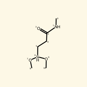 CNC(=O)CC[SiH](OC)OC